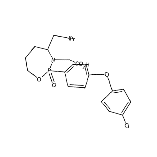 CC(C)CC1CCCOP(=O)(c2ccc(Oc3ccc(Cl)cc3)cc2)N1CC(=O)O